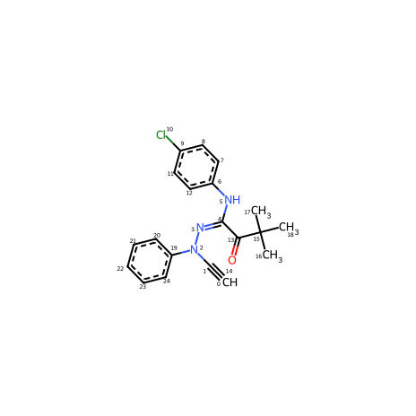 C#CN(N=C(Nc1ccc(Cl)cc1)C(=O)C(C)(C)C)c1ccccc1